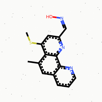 CSc1cc(/C=N\O)nc2c1c(C)cc1cccnc12